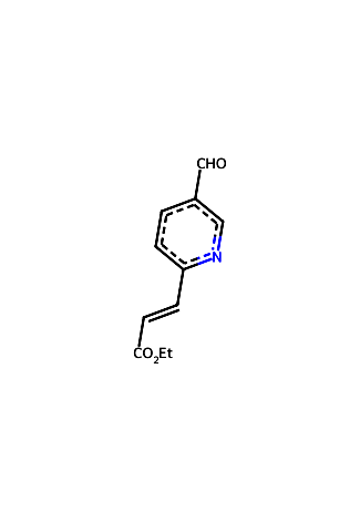 CCOC(=O)C=Cc1ccc(C=O)cn1